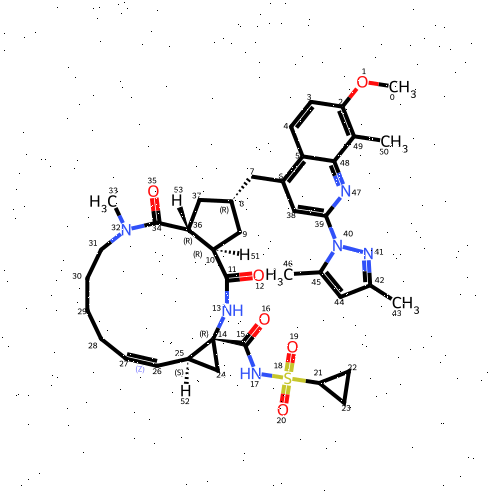 COc1ccc2c(C[C@@H]3C[C@H]4C(=O)N[C@]5(C(=O)NS(=O)(=O)C6CC6)C[C@H]5/C=C\CCCCN(C)C(=O)[C@@H]4C3)cc(-n3nc(C)cc3C)nc2c1C